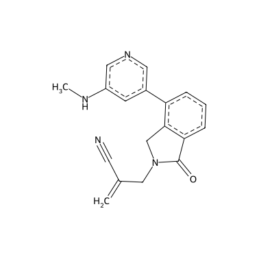 C=C(C#N)CN1Cc2c(cccc2-c2cncc(NC)c2)C1=O